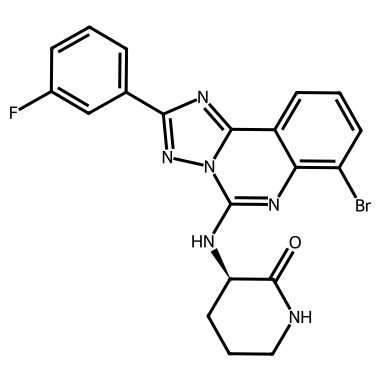 O=C1NCCC[C@H]1Nc1nc2c(Br)cccc2c2nc(-c3cccc(F)c3)nn12